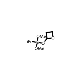 CO[Si](OC)(OC1CCO1)C(C)C